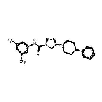 O=C(Nc1cc(C(F)(F)F)cc(C(F)(F)F)c1)N1CCC(N2CCC(c3ccccc3)CC2)C1